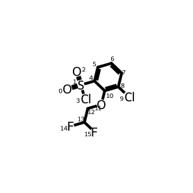 O=S(=O)(Cl)c1cccc(Cl)c1OCC(F)F